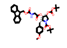 COc1ccc(C[C@@H]2[C@H](OC(=O)CNC(=O)OCC3c4ccccc4-c4ccccc43)[C@@H](OC(=O)OC(C)(C)C)CN2C(=O)OC(C)(C)C)cc1